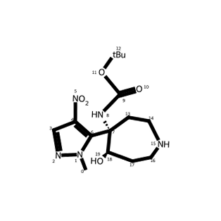 Cn1ncc([N+](=O)[O-])c1[C@@]1(NC(=O)OC(C)(C)C)CCNCC[C@H]1O